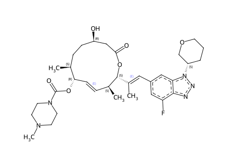 C/C(=C\c1cc(F)c2nnn([C@H]3CCCOC3)c2c1)[C@H]1OC(=O)C[C@H](O)CC[C@H](C)[C@@H](OC(=O)N2CCN(C)CC2)/C=C/[C@@H]1C